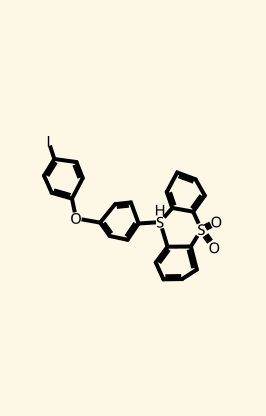 O=S1(=O)c2ccccc2[SH](c2ccc(Oc3ccc(I)cc3)cc2)c2ccccc21